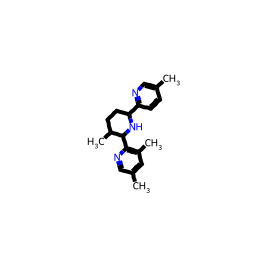 Cc1ccc(C2CCC(C)C(c3ncc(C)cc3C)N2)nc1